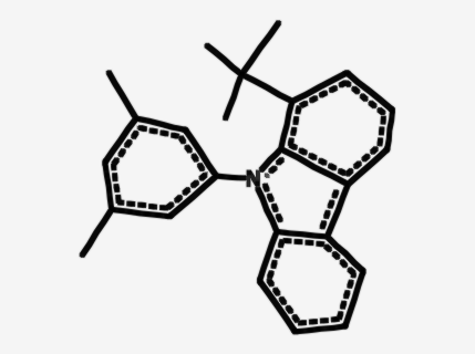 Cc1cc(C)cc(-n2c3ccccc3c3cccc(C(C)(C)C)c32)c1